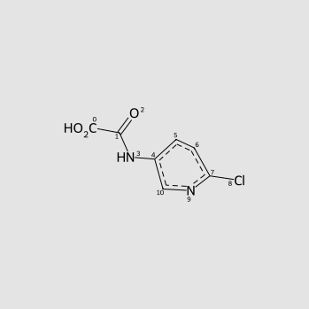 O=C(O)C(=O)Nc1ccc(Cl)nc1